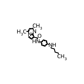 CCCCCNc1ccc(NC(=O)c2ccn3c(C)cc(C)nc23)cc1